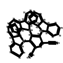 N#Cc1cc(C#N)c(-n2c3ccccc3c3ccccc32)c(-n2c3ccccc3c3ccccc32)c1N1c2ccccc2C2=CC=CCC21